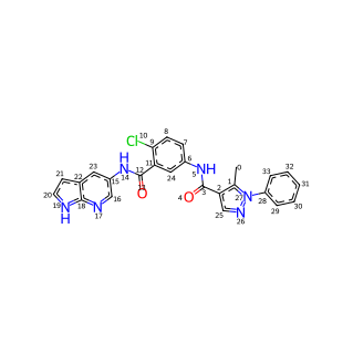 Cc1c(C(=O)Nc2ccc(Cl)c(C(=O)Nc3cnc4[nH]ccc4c3)c2)cnn1-c1ccccc1